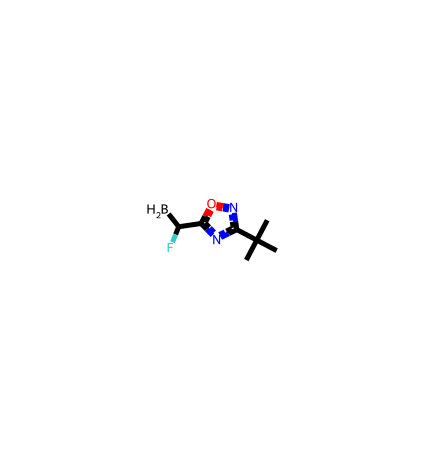 BC(F)c1nc(C(C)(C)C)no1